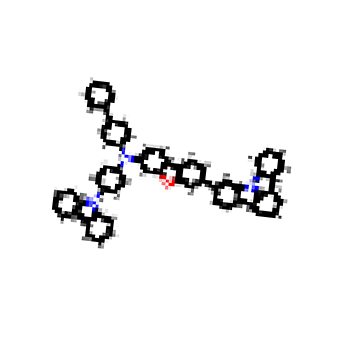 c1ccc(-c2ccc(N(c3ccc(-n4c5ccccc5c5ccccc54)cc3)c3ccc4c(c3)oc3cc(-c5ccc6c7cccc8c9ccccc9n(c6c5)c87)ccc34)cc2)cc1